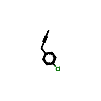 CC#CCc1ccc(Cl)cc1